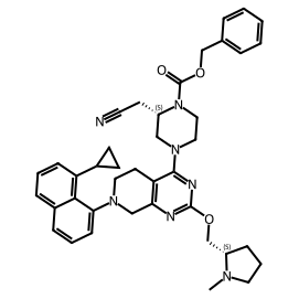 CN1CCC[C@H]1COc1nc2c(c(N3CCN(C(=O)OCc4ccccc4)[C@@H](CC#N)C3)n1)CCN(c1cccc3cccc(C4CC4)c13)C2